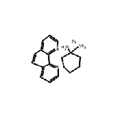 NC1(N)CCCCC1.[Pt].c1cnc2c(c1)ccc1cccnc12